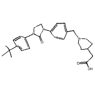 CC(C)(C)c1ccc(N2CCN(c3ccc(CN4CCC(CC(=O)O)CC4)cc3)C2=O)cc1